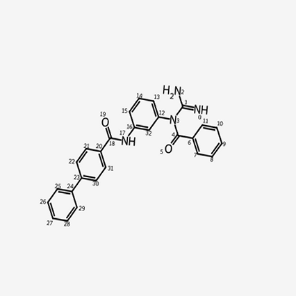 N=C(N)N(C(=O)c1ccccc1)c1cccc(NC(=O)c2ccc(-c3ccccc3)cc2)c1